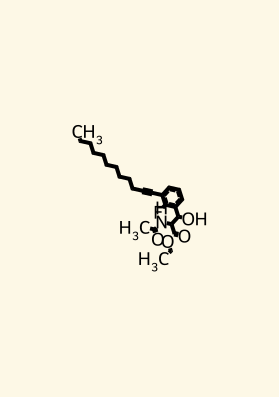 CCCCCCCCCCC#Cc1cccc(C(O)C(NC(C)=O)C(=O)OCC)c1F